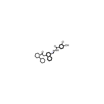 O=C(N/N=C/c1ccc(CC(=O)N2CCCCC2C2CCCCC2)c2ccccc12)c1ccc(O)c(Cl)c1